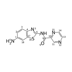 Nc1ccc2nc(NC(=O)c3cnccn3)sc2c1